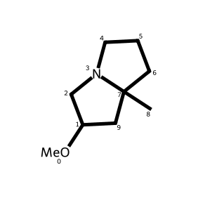 COC1CN2CCCC2(C)C1